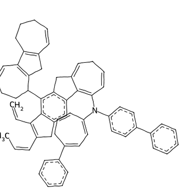 C=CC1=C(/C=C\C)Cc2cc3c(c(C4CCC=CC5=C4CC4=C5CCCC=C4)c21)CC1=CCC=CC(N(C2=CC=C(c4ccccc4)CC=C2)c2ccc(-c4ccccc4)cc2)=C13